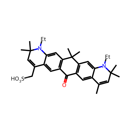 CCN1c2cc3c(cc2C(C)=CC1(C)C)C(=O)c1cc2c(cc1C3(C)C)N(CC)C(C)(C)C=C2CS(=O)(=O)O